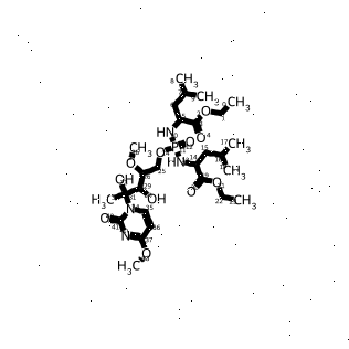 CCOC(=O)C(CC(C)C)NP(=O)(NC(CC(C)C)C(=O)OCC)OCC(OC)C(O)C(C)(O)n1ccc(OC)nc1=O